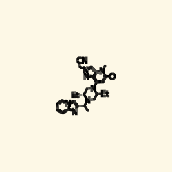 CC[C@H]1CN(C(C)c2cn3ccccc3n2)[C@H](CC)CN1c1cc(=O)n(C)c2cn(CC#N)nc12